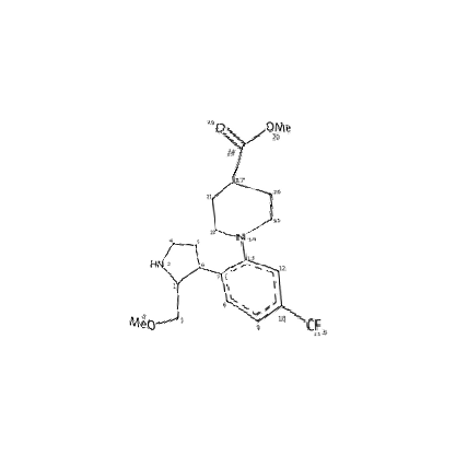 COCC1NCCC1c1ccc(C(F)(F)F)cc1N1CCC(C(=O)OC)CC1